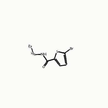 CCNNC(=O)c1ccc(Br)s1